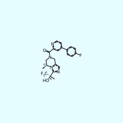 C[C@H]1CN(C(=O)c2cc(-c3ccc(F)cc3)ccn2)Cc2cnc([C@@](C)(O)C(F)(F)F)n21